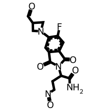 NC(=O)C(CCN=O)N1C(=O)c2cc(F)c(N3CC(C=O)C3)cc2C1=O